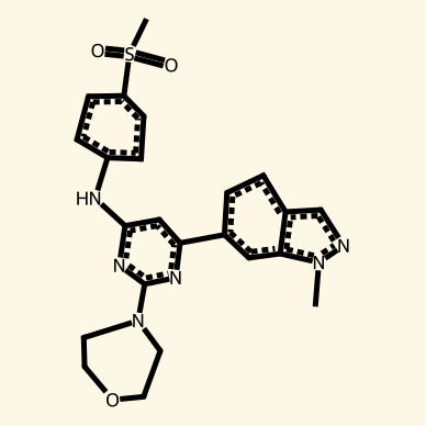 Cn1ncc2ccc(-c3cc(Nc4ccc(S(C)(=O)=O)cc4)nc(N4CCOCC4)n3)cc21